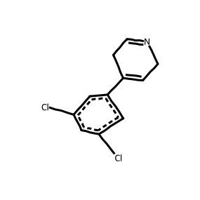 Clc1cc(Cl)cc(C2=CCN=CC2)c1